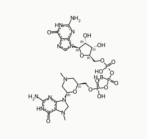 BP(=O)(OP(=O)(O)OC[C@@H]1CN(C)C[C@H](N2CN(C)c3c2nc(N)[nH]c3=O)O1)OP(=O)(O)OC[C@H]1O[C@@H](n2cnc3c(=O)[nH]c(N)nc32)[C@H](O)[C@@H]1O